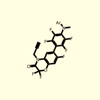 C#CCN1C(=O)C(F)(F)Oc2cc(F)c(-c3c(F)c(F)c(N(C)C(C)=O)c(F)c3F)cc21